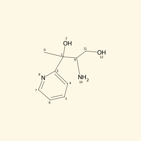 CC(O)(c1ccccn1)C(N)CO